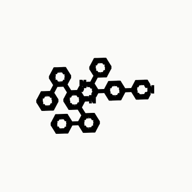 c1ccc(-c2ccccc2-c2ccc(-c3ccccc3-c3ccccc3)c3nc(-c4ccc(-c5ccncc5)cc4)c(-c4ccccc4)nc23)cc1